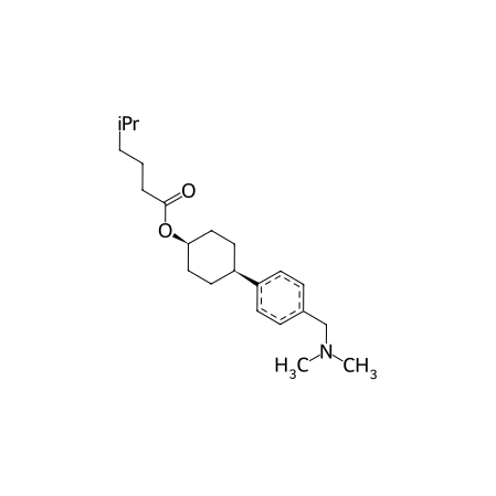 CC(C)CCCC(=O)O[C@H]1CC[C@@H](c2ccc(CN(C)C)cc2)CC1